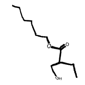 CCCCCCOC(=O)C(CC)CO